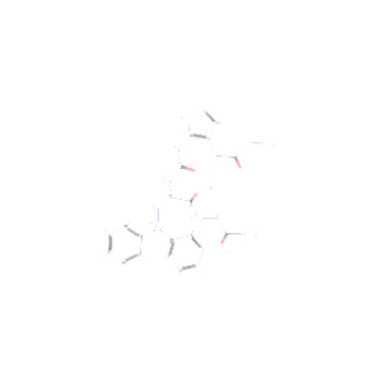 CC(C)(C)OC(=O)Cc1ccsc1NC(=O)NC1CN(c2ccccc2)c2ccccc2N(CC(=O)C(C)(C)C)C1=O